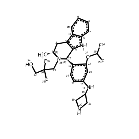 C[C@@H]1Cc2c([nH]c3ccccc23)[C@@H](c2ccc(NC3CNC3)cc2OC(F)F)N1CC(F)(F)CO